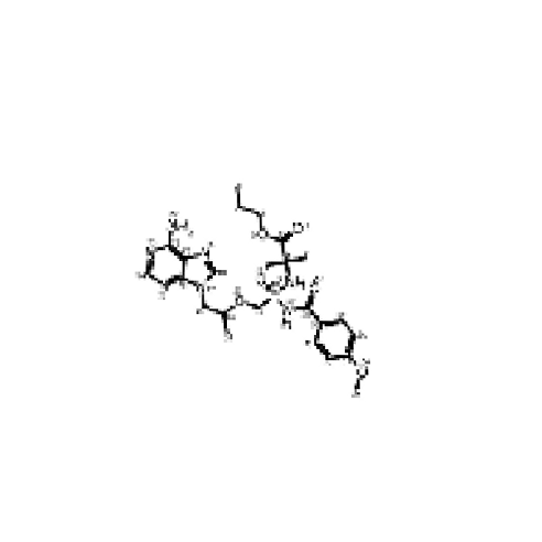 CCCOC(=O)C(C)(C)NP(=O)(COC(C)Cn1cnc2c(N)ncnc21)NC(=O)c1ccc(OC)cc1